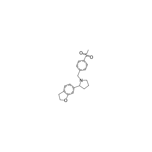 CS(=O)(=O)c1ccc(CN2CCCC2c2ccc3c(c2)OCC3)cc1